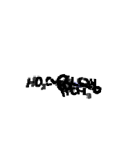 C[C@@H]1C[C@@H]2O[C@@H](CCC(=O)O)CCC[C@@H]2[C@H]1/C=C/[C@@H](O)COc1ccccc1